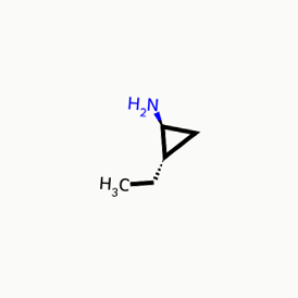 CC[C@H]1C[C@@H]1N